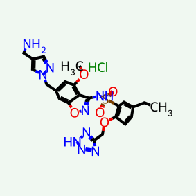 CCc1ccc(OCc2nn[nH]n2)c(S(=O)(=O)Nc2noc3cc(Cn4cc(CN)cn4)cc(OC)c23)c1.Cl